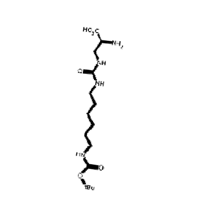 CC(C)(C)OC(=O)NCCCCCCNC(=O)NC[C@H](N)C(=O)O